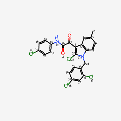 Cc1ccc2c(c1)c(C(=O)C(=O)Nc1ccc(Cl)cc1)c(Cl)n2Cc1ccc(Cl)cc1Cl